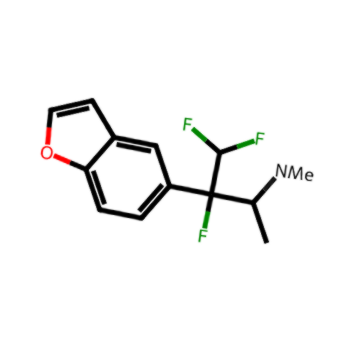 CNC(C)C(F)(c1ccc2occc2c1)C(F)F